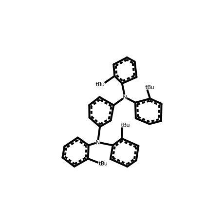 CC(C)(C)c1ccccc1N(c1cccc(N(c2ccccc2C(C)(C)C)c2ccccc2C(C)(C)C)c1)c1ccccc1C(C)(C)C